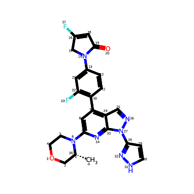 C[C@@H]1COCCN1c1cc(-c2ccc(N3CC(F)=CC3=O)cc2F)c2cnn(-c3cc[nH]n3)c2n1